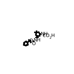 CC1(C)CC(NC(=O)O)CC(C)(CNC(=O)OC(C)(C)c2ccccc2)C1